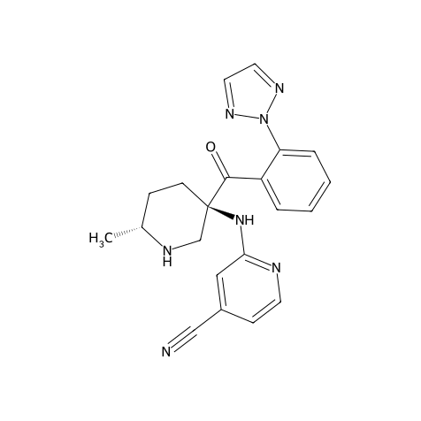 C[C@@H]1CC[C@](Nc2cc(C#N)ccn2)(C(=O)c2ccccc2-n2nccn2)CN1